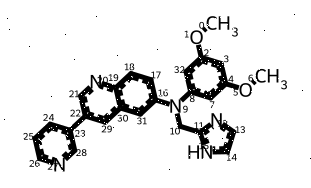 COc1cc(OC)cc(N(Cc2ncc[nH]2)c2ccc3ncc(-c4cccnc4)cc3c2)c1